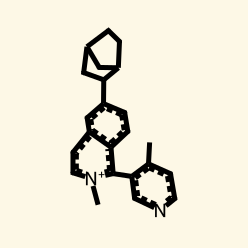 Cc1ccncc1-c1c2ccc(C3CC4CCC3C4)cc2cc[n+]1C